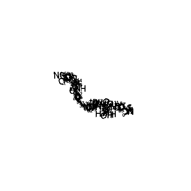 Cc1ncsc1-c1ccc([C@H](C)NC(=O)[C@@H]2C[C@@H](O)CN2C(=O)C(NC(=O)CN2CCN(CCCc3ccc(C(=O)NC4C(C)(C)C(Oc5ccc(C#N)c(Cl)c5)C4(C)C)cc3)CC2)C(C)(C)C)cc1